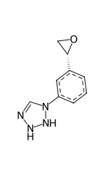 C1=NNNN1c1cccc([C@@H]2CO2)c1